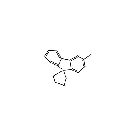 Ic1ccc2c(c1)-c1ccccc1[Si]21CCCC1